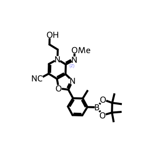 CO/N=c1/c2nc(-c3cccc(B4OC(C)(C)C(C)(C)O4)c3C)oc2c(C#N)cn1CCO